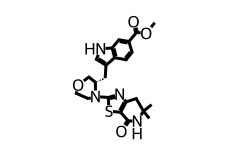 COC(=O)c1ccc2c(C[C@H]3COCCN3c3nc4c(s3)C(=O)NC(C)(C)C4)c[nH]c2c1